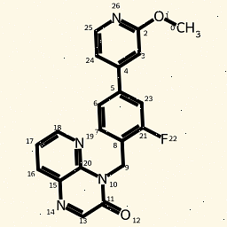 COc1cc(-c2ccc(Cn3c(=O)cnc4cccnc43)c(F)c2)ccn1